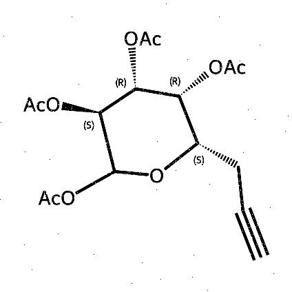 C#CC[C@@H]1OC(OC(C)=O)[C@@H](OC(C)=O)[C@H](OC(C)=O)[C@@H]1OC(C)=O